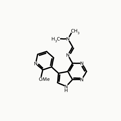 COc1ncccc1-c1c[nH]c2ncnc(N=CN(C)C)c12